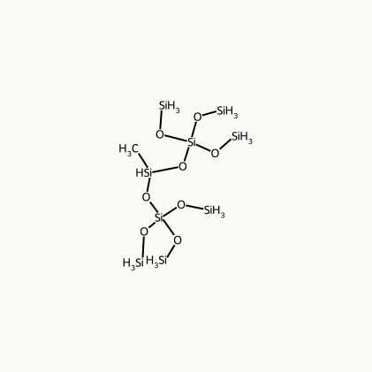 C[SiH](O[Si](O[SiH3])(O[SiH3])O[SiH3])O[Si](O[SiH3])(O[SiH3])O[SiH3]